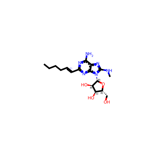 CCCC/C=C/c1nc(N)c2nc(NC)n([C@@H]3O[C@H](CO)[C@@H](O)[C@H]3O)c2n1